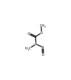 COC(=O)N(C)N=O